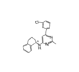 Cc1nc(N[C@@H]2CCCc3ccccc32)cc(-c2cccc(Cl)c2)n1